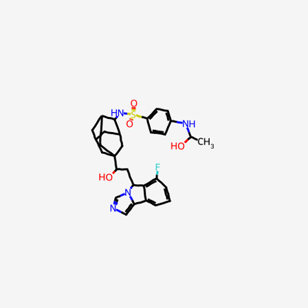 CC(O)Nc1ccc(S(=O)(=O)NC2C3CC4CC2CC(C(O)CC2c5c(F)cccc5-c5cncn52)(C4)C3)cc1